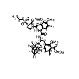 COc1c(F)cc(C(NC(=O)N2CCN(S(=O)(=O)CCN)C2=O)C(=O)NC(Cc2ccc(F)c(C(=O)OC(C)(C)C)c2OC)B2O[C@@H]3C[C@@H]4C[C@@H](C4(C)C)[C@]3(C)O2)c(Cl)c1OC